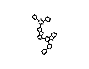 c1ccc(-c2cccc(-c3cc(-c4cccc5c4sc4cc(-c6nc(-c7ccccc7)nc(-c7ccccc7)n6)ccc45)cc4c3sc3ccccc34)c2)cc1